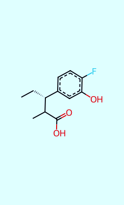 CC[C@H](c1ccc(F)c(O)c1)C(C)C(=O)O